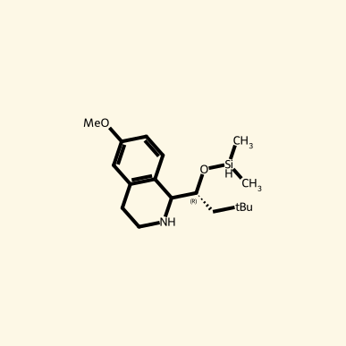 COc1ccc2c(c1)CCNC2[C@@H](CC(C)(C)C)O[SiH](C)C